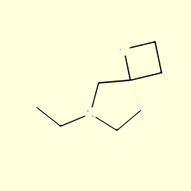 CCN1CC[C@]2(CCO2)C1